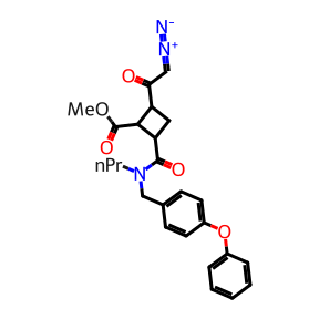 CCCN(Cc1ccc(Oc2ccccc2)cc1)C(=O)C1CC(C(=O)C=[N+]=[N-])C1C(=O)OC